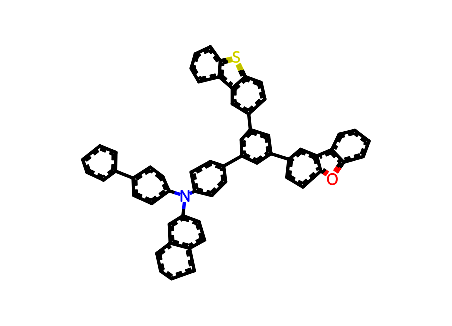 c1ccc(-c2ccc(N(c3ccc(-c4cc(-c5ccc6oc7ccccc7c6c5)cc(-c5ccc6sc7ccccc7c6c5)c4)cc3)c3ccc4ccccc4c3)cc2)cc1